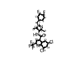 Cc1nn(Cc2ccc(F)c(F)c2)c(C)c1NC(=O)c1cc(C(F)(F)F)nc2c(Cl)cc(Cl)cc12